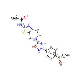 CNC(=O)Nc1nc2c(s1)CN(c1nc(C34CCC(C(=O)OC)(CC3)CC4)no1)CC2